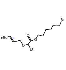 CCCC/C=C/COC(CC)C(=O)OCCCCCCBr